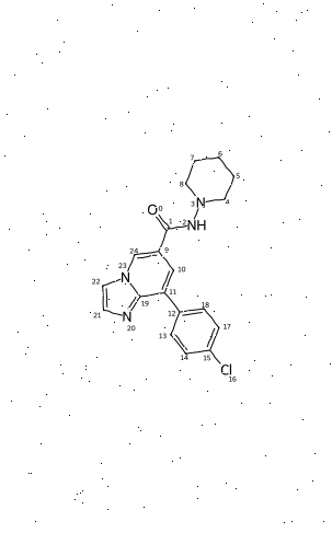 O=C(NN1CCCCC1)c1cc(-c2ccc(Cl)cc2)c2nccn2c1